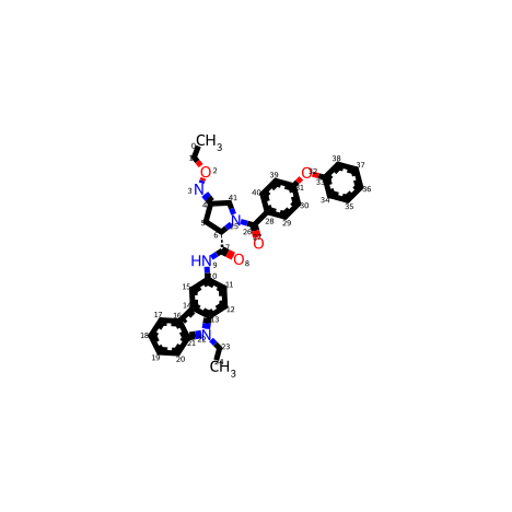 CCON=C1C[C@@H](C(=O)Nc2ccc3c(c2)c2ccccc2n3CC)N(C(=O)c2ccc(Oc3ccccc3)cc2)C1